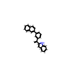 C=C(c1cccc(-c2ccc3ccccc3c2)c1)c1cc2ccccc2[nH]1